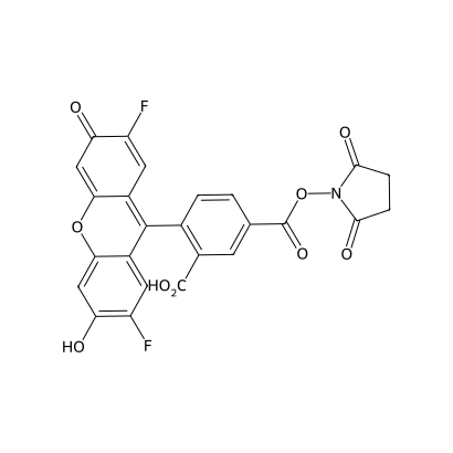 O=C(ON1C(=O)CCC1=O)c1ccc(-c2c3cc(F)c(=O)cc-3oc3cc(O)c(F)cc23)c(C(=O)O)c1